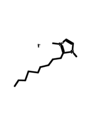 CCCCCCCCCc1n(C)cc[n+]1C.[I-]